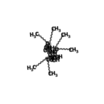 CCCCCCCCCCC[C@H](CC(=O)N[C@@H](COCC1(NC(=O)C[C@@H](CCCCCCCCCCC)OCCCCCCCCCC)COC(CO)[C@@H](OP(=O)(O)O)C1OC(=O)C[C@@H](CCCCCCCCCCC)OCCCCCCCCCC)C(=O)O)OCCCCCCCCCC